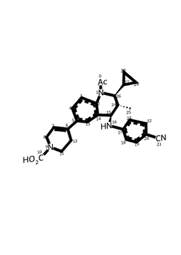 CC(=O)N1c2ccc(C3=CCN(C(=O)O)CC3)cc2[C@H](Nc2ccc(C#N)cc2)[C@@H](C)[C@@H]1C1CC1